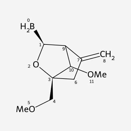 B[C@@H]1O[C@@]2(COC)CC(=C)C1C2OC